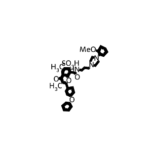 COc1ccccc1N1CCN(CCCNC(=O)c2cccc3c(=O)c(C)c(-c4ccc(Oc5ccccc5)cc4)oc23)CC1.CS(=O)(=O)O